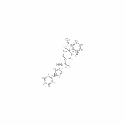 O=C1OC2(CCC(C(=O)Nc3ccn(-c4ccccc4)c3)CC2)c2c1ccc[n+]2[O-]